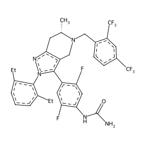 CCc1cccc(CC)c1-n1nc2c(c1-c1cc(F)c(NC(N)=O)cc1F)CN(Cc1ccc(C(F)(F)F)cc1C(F)(F)F)[C@@H](C)C2